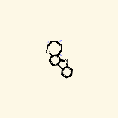 C1=C\C=c2/c(ccc3c2=Nc2ccccc2-3)O\C=C/1